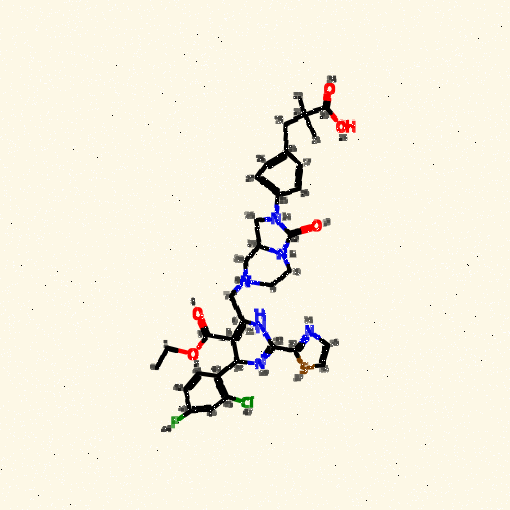 CCOC(=O)C1=C(CN2CCN3C(=O)N(c4ccc(CC(C)(C)C(=O)O)cc4)CC3C2)NC(c2nccs2)=NC1c1ccc(F)cc1Cl